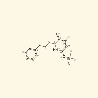 CNC(=O)C(CCCc1cccnc1)NC(=O)OC(C)(C)C